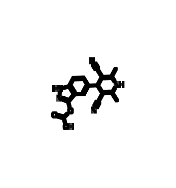 CC1=C(C#N)C(c2ccc3[nH]nc(OC(=O)O)c3c2)C(C#N)=C(C)N1